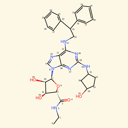 CCNC(=O)[C@H]1O[C@H](n2cnc3c(NCC(c4ccccc4)c4ccccc4)nc(NC4CCC(O)C4)nc32)[C@H](O)[C@@H]1O